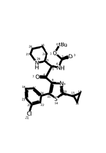 CC(C)(C)OC(=O)NC(C(=O)c1nc(C2CC2)sc1-c1cccc(Cl)c1)C1CCCCN1